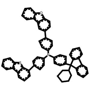 c1ccc2c(c1)-c1ccccc1C2(c1ccc(N(c2ccc(-c3ccc4oc5ccccc5c4c3)cc2)c2ccc(-c3cccc4c3sc3ccccc34)cc2)cc1)C1CCCCC1